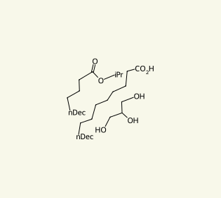 CCCCCCCCCCCCCC(=O)OC(C)C.CCCCCCCCCCCCCCCCCC(=O)O.OCC(O)CO